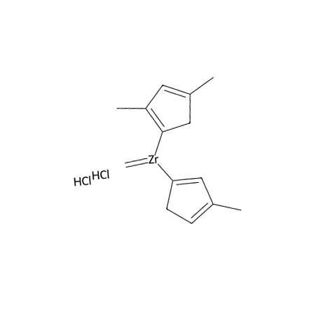 Cl.Cl.[CH2]=[Zr]([C]1=CC(C)=CC1)[C]1=C(C)C=C(C)C1